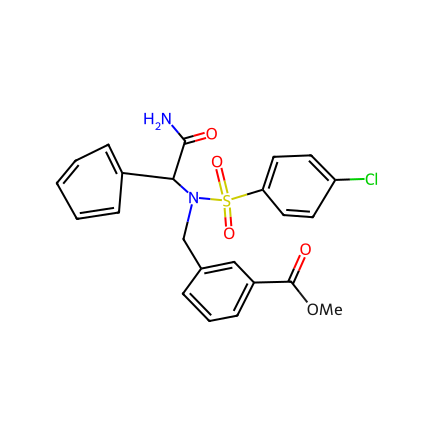 COC(=O)c1cccc(CN(C(C(N)=O)c2ccccc2)S(=O)(=O)c2ccc(Cl)cc2)c1